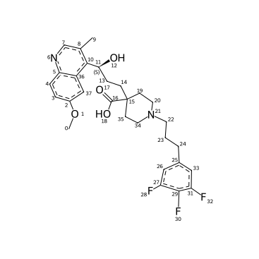 COc1ccc2ncc(C)c([C@@H](O)CCC3(C(=O)O)CCN(CCCc4cc(F)c(F)c(F)c4)CC3)c2c1